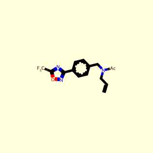 C=CCN(Cc1ccc(-c2noc(C(F)(F)F)n2)cc1)C(C)=O